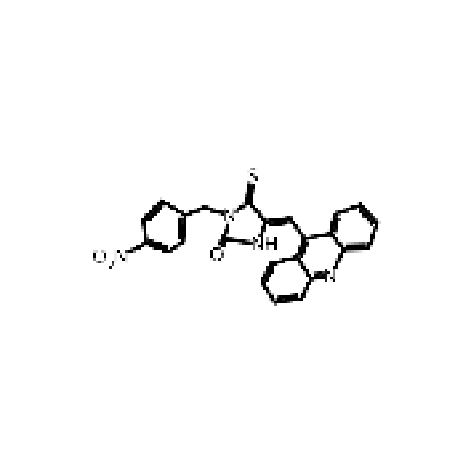 O=C1NC(=Cc2c3ccccc3nc3ccccc23)C(=S)N1Cc1ccc([N+](=O)[O-])cc1